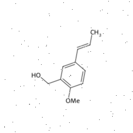 CC=Cc1ccc(OC)c(CO)c1